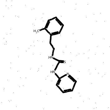 Cc1ccccc1CCNC(=S)Nc1ccccn1